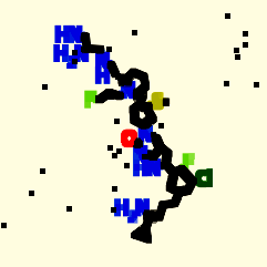 CSc1cc(-n2cc3cc(-c4cc(CCC[C@@H](N)C5CC5)cc(Cl)c4F)[nH]c3nc2=O)ccc1[C@@H]1CCC[C@@H](CCNCC(N)C=N)N1CCCF